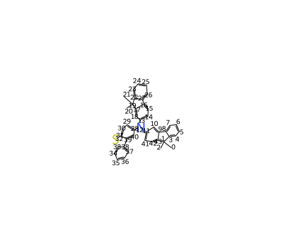 CC1(C)c2ccccc2-c2cc(N(c3ccc4c(c3)C(C)(C)c3ccccc3-4)c3ccc4sc5ccccc5c4c3)ccc21